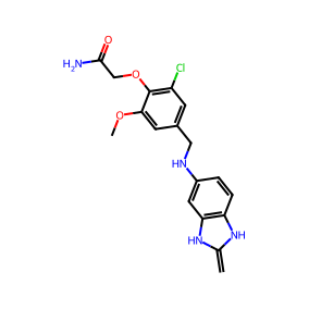 C=C1Nc2ccc(NCc3cc(Cl)c(OCC(N)=O)c(OC)c3)cc2N1